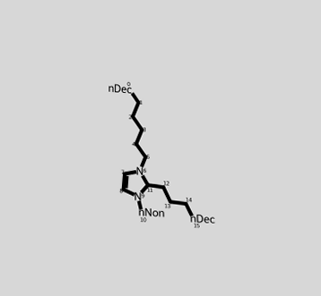 CCCCCCCCCCCCCCCN1C=CN(CCCCCCCCC)C1CCCCCCCCCCCCC